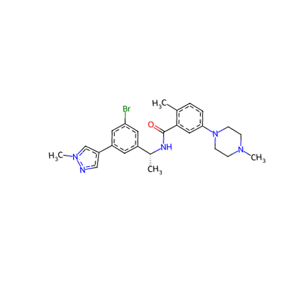 Cc1ccc(N2CCN(C)CC2)cc1C(=O)N[C@H](C)c1cc(Br)cc(-c2cnn(C)c2)c1